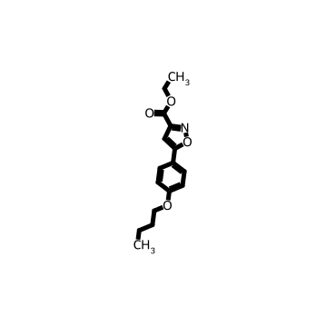 CCCCOc1ccc(-c2cc(C(=O)OCC)no2)cc1